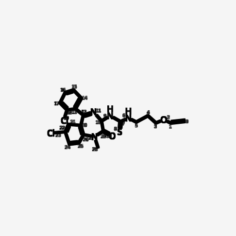 C=COCCCNC(=S)NC1N=C(c2ccccc2Cl)c2cc(Cl)ccc2N(C)C1=O